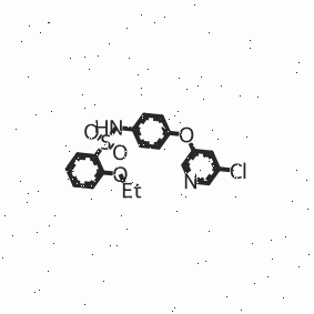 CCOc1ccccc1S(=O)(=O)Nc1ccc(Oc2cncc(Cl)c2)cc1